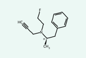 C#CCN(CCF)[C@H](C)Cc1ccccc1